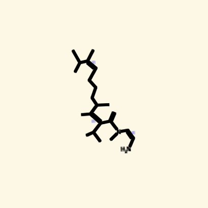 C=C(/C(=C(/C)C(C)CCC/C=C(/C)C(C)C)C(C)C)N(C)/C=C\N